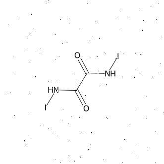 O=C(NI)C(=O)NI